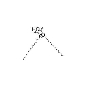 CCCCCCCCCCCCCCCCOC1(OCCCCCCCCCCCCCCCC)C=C(C(C)(C)C)C(O)C(C(C)(C)C)=C1